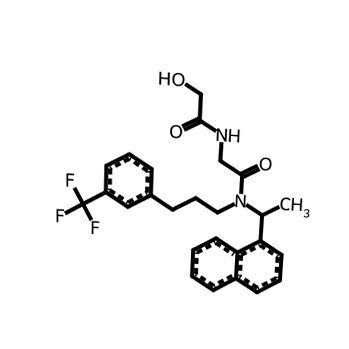 CC(c1cccc2ccccc12)N(CCCc1cccc(C(F)(F)F)c1)C(=O)CNC(=O)CO